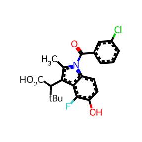 Cc1c(C(C(=O)O)C(C)(C)C)c2c(F)c(O)ccc2n1C(=O)c1cccc(Cl)c1